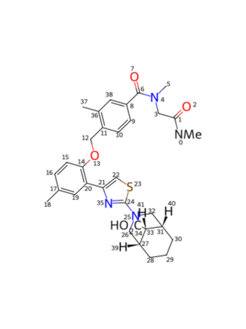 CNC(=O)CN(C)C(=O)c1ccc(COc2ccc(C)cc2-c2csc(N3C[C@H]4CCC[C@@H](C3)[C@H]4C(=O)O)n2)c(C)c1